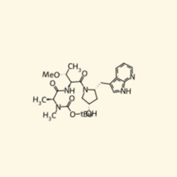 CO[C@H](C)[C@H](NC(=O)[C@H](C)N(C)C(=O)OC(C)(C)C)C(=O)N1C[C@@H](O)C[C@H]1Cc1c[nH]c2ncccc12